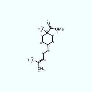 COC(=O)C1(C)CCC(CCC=C(C)C)CC1